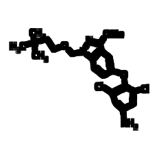 COc1nn(COCC[Si](C)(C)C)c2ccc(Oc3c(Cl)cc(N)cc3Cl)cc12